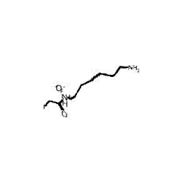 NCCCCCC[NH+]([O-])C(=O)CI